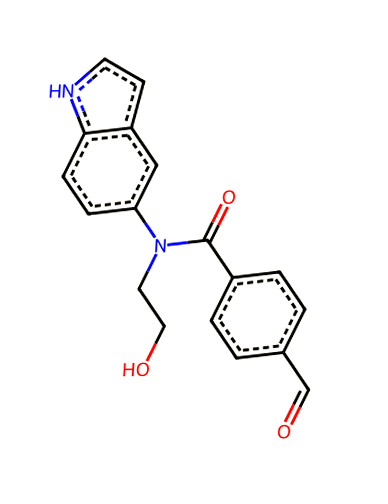 O=Cc1ccc(C(=O)N(CCO)c2ccc3[nH]ccc3c2)cc1